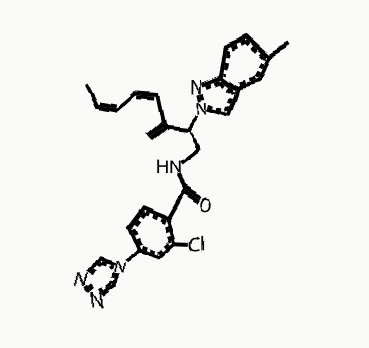 C=C(/C=C\C=C/C)[C@H](CNC(=O)c1ccc(-n2cnnc2)cc1Cl)n1cc2cc(C)ccc2n1